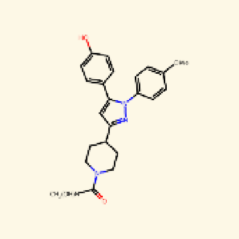 COc1ccc(-n2nc(C3CCN(C(=O)N(C)O)CC3)cc2-c2ccc(O)cc2)cc1